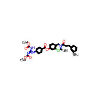 CC(C)(C)CN(Cc1ccc(OC(=O)c2ccc(N/C(=N\C(=O)OC(C)(C)C)NC(=O)OC(C)(C)C)cc2)cc1Cl)C(=O)CCc1cccc(C(C)(C)C)c1